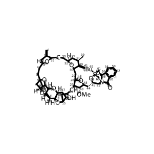 C=C1C[C@@H]2CCC34C[C@H]5O[C@H]6[C@@H](O3)[C@H]3OC(CC[C@@H]3O[C@H]6[C@H]5O4)CC(O)C[C@H]3[C@H](CC4O[C@@H](CCC1O2)C[C@@H](C)C4=C)OC(C[C@@H](CN1C(=O)c2ccccc2C1=O)O[Si](C)(C)C(C)(C)C)[C@@H]3OC